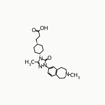 Cc1nn(-c2ccc3c(c2)CCN(C)CC3)c(=O)n1[C@H]1CC[C@H](CCC(=O)O)CC1